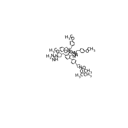 COc1ccc(CN(Cc2ccc(OC)cc2)S(=O)(=O)c2c(CC3CCN(C(=N)N)CC3)ccc(-c3ccc(C4CN(C(=O)OC(C)(C)C)C4)cc3)c2-c2nnn(Cc3ccc(OC)cc3)n2)cc1